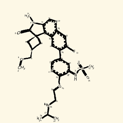 COC[C@H]1C[C@@]2(C1)C(=O)N(C)c1cnc3cc(F)c(-c4cnc(OCCNC(C)C)c(NS(C)(=O)=O)c4)cc3c12